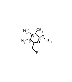 CO[C@H]1OC(CF)[C@H](C)[C@H](C)C1C